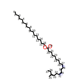 CCCCCCCCCCCCCCCCCOC(=O)CCCCCCC/C=C\C/C=C\CCC(C)CC